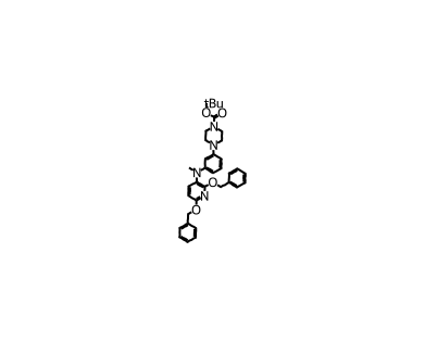 CN(c1cccc(N2CCN(C(=O)OC(C)(C)C)CC2)c1)c1ccc(OCc2ccccc2)nc1OCc1ccccc1